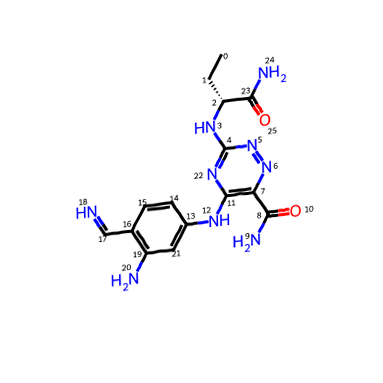 CC[C@@H](Nc1nnc(C(N)=O)c(Nc2ccc(C=N)c(N)c2)n1)C(N)=O